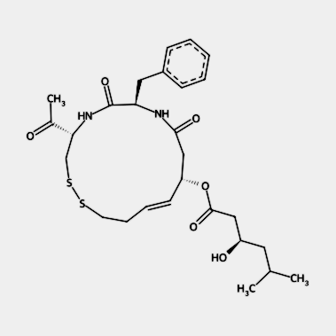 CC(=O)[C@H]1CSSCC/C=C/[C@@H](OC(=O)C[C@H](O)CC(C)C)CC(=O)N[C@H](Cc2ccccc2)C(=O)N1